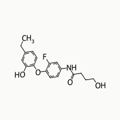 CCc1ccc(Oc2ccc(NC(=O)CCCO)cc2F)c(O)c1